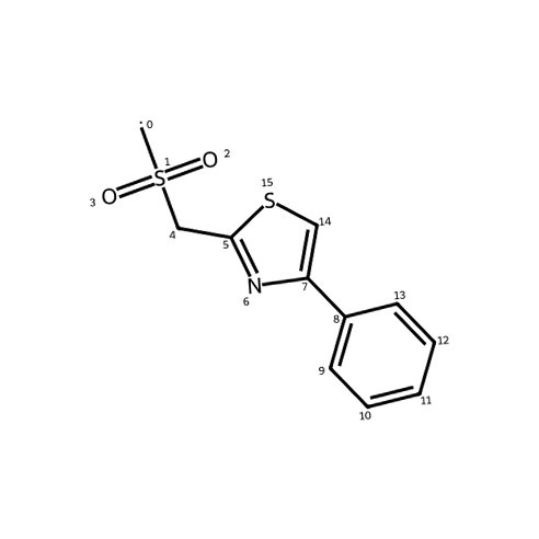 [CH2]S(=O)(=O)Cc1nc(-c2ccccc2)cs1